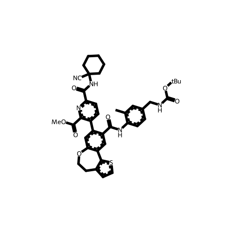 COC(=O)c1nc(C(=O)NC2(C#N)CCCCC2)ccc1-c1cc2c(cc1C(=O)Nc1ccc(CNC(=O)OC(C)(C)C)cc1C)-c1sccc1CCO2